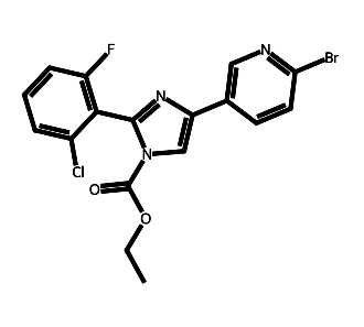 CCOC(=O)n1cc(-c2ccc(Br)nc2)nc1-c1c(F)cccc1Cl